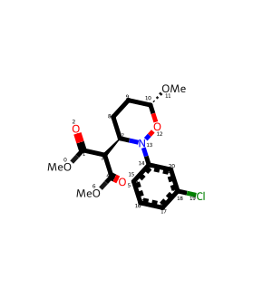 COC(=O)C(C(=O)OC)[C@H]1CC[C@H](OC)ON1c1cccc(Cl)c1